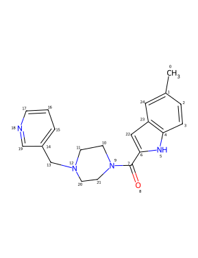 Cc1ccc2[nH]c(C(=O)N3CCN(Cc4cccnc4)CC3)cc2c1